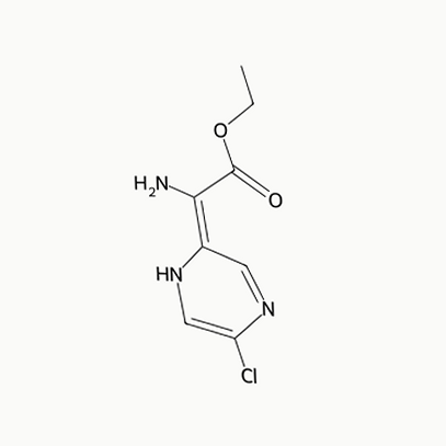 CCOC(=O)/C(N)=C1\C=NC(Cl)=CN1